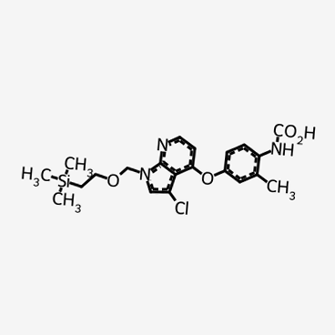 Cc1cc(Oc2ccnc3c2c(Cl)cn3COCC[Si](C)(C)C)ccc1NC(=O)O